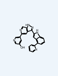 Oc1cncc(-c2cc3c(-c4cc5c(-c6ccccn6)cccc5[nH]4)n[nH]c3cn2)c1